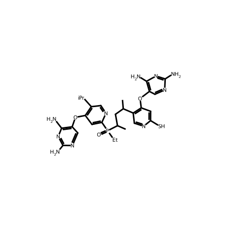 CCP(=O)(c1cc(Oc2cnc(N)nc2N)c(C(C)C)cn1)C(C)CC(C)c1cnc(S)cc1Oc1cnc(N)nc1N